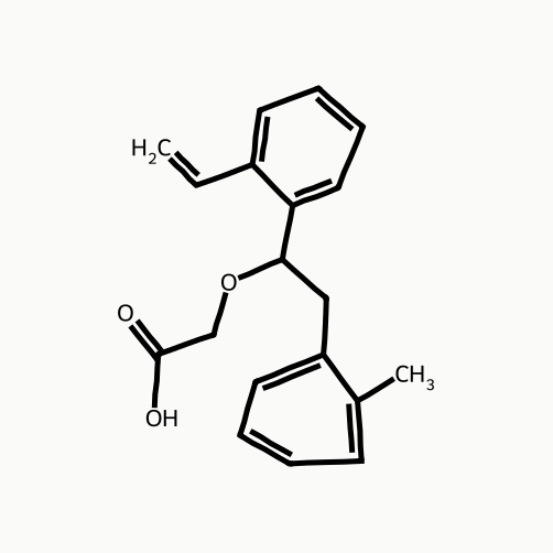 C=Cc1ccccc1C(Cc1ccccc1C)OCC(=O)O